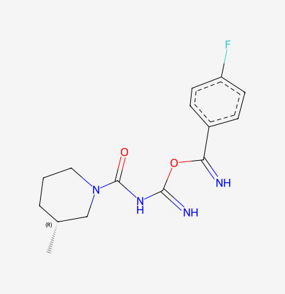 C[C@@H]1CCCN(C(=O)NC(=N)OC(=N)c2ccc(F)cc2)C1